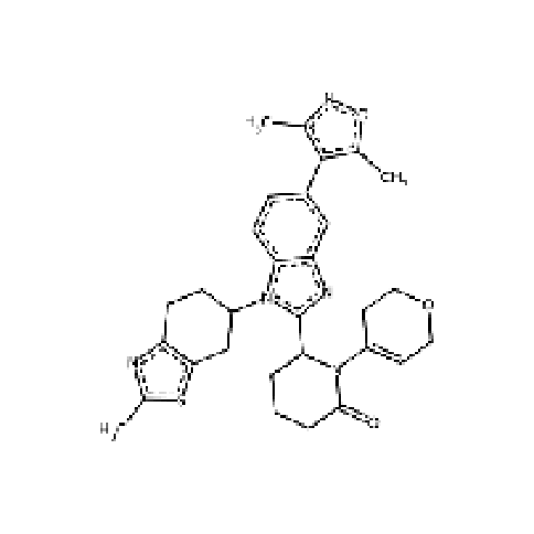 Cc1nc2c(s1)CC(n1c(C3CCCC(=O)N3C3=CCOCC3)nc3cc(-c4c(C)noc4C)ccc31)CC2